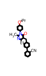 CCc1nc(C)n(-c2ccc(OC(C)C)cc2)c(=O)c1Cc1ccc(-c2ccccc2C#N)cc1